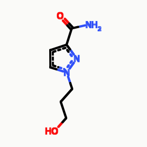 NC(=O)c1ccn(CCCO)n1